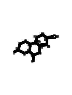 CC1CCC2C(C1)C(C)CC1=CC(=O)CCN12